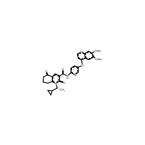 COc1cc2nccc(Oc3ccc(NC(=O)c4cc5c(n([C@H](C)C6CC6)c4=O)CCCC5=O)nc3)c2cc1OC